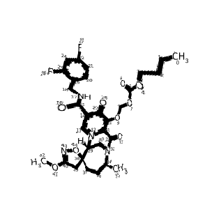 CCCCOC(=O)OCOc1c2n(cc(C(=O)NCc3ccc(F)cc3F)c1=O)[C@@H]1CN(C2=O)[C@@H](C)CC[C@]12CC(OC)=NO2